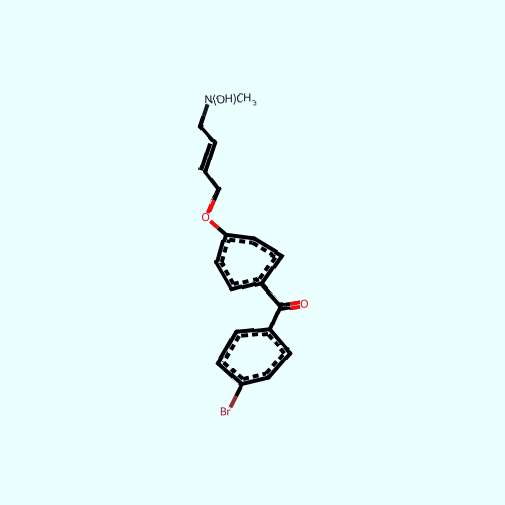 CN(O)CC=CCOc1ccc(C(=O)c2ccc(Br)cc2)cc1